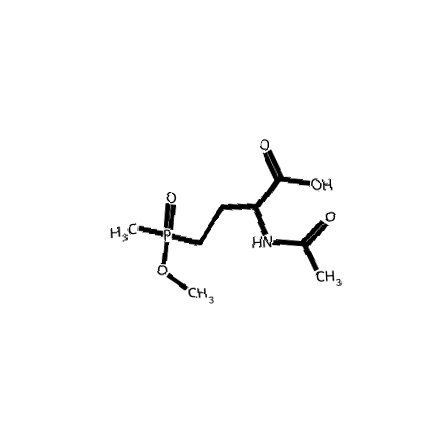 COP(C)(=O)CCC(NC(C)=O)C(=O)O